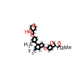 COC(=O)C[C@@H]1COc2cc(O[C@@H]3CCc4c(-c5ccc(OCC6(O)CCOCC6)cc5C)cc(C(F)(F)F)cc43)ccc21